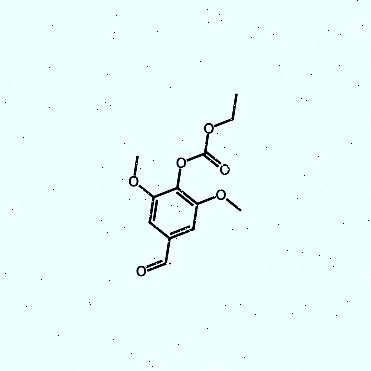 CCOC(=O)Oc1c(OC)cc([C]=O)cc1OC